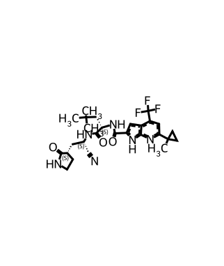 CC(C)(C)C[C@H](NC(=O)c1cc2c(C(F)(F)F)cc(C3(C)CC3)nc2[nH]1)C(=O)N[C@H](C#N)C[C@@H]1CCNC1=O